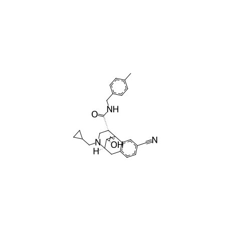 Cc1ccc(CNC(=O)[C@@H]2C[C@]34CCN(CC5CC5)[C@H](Cc5ccc(C#N)cc53)[C@]4(O)C2)cc1